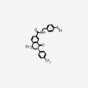 CCSc1ccc(CNC(=O)c2ccc3c(c2)C(=O)N(c2ccc(C(F)(F)F)cc2)C[C@@H]3CC)cc1